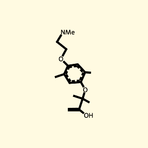 C=C(O)C(C)(C)Oc1cc(C)c(OCCNC)cc1C